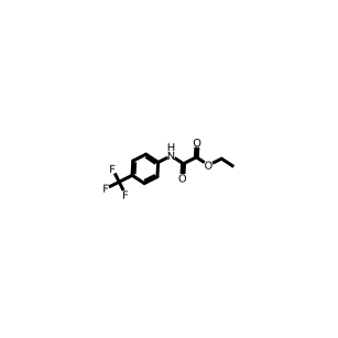 CCOC(=O)C(=O)Nc1ccc(C(F)(F)F)cc1